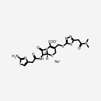 CN(C)C(=O)Cc1nnc(SCC2=C(C(=O)[O-])N3C(=O)C(NC(=O)Cc4csc(N)n4)[C@H]3SC2)s1.[Na+]